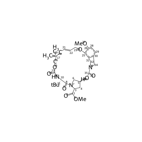 COC(=O)C1C[C@@H]2CN1C(=O)[C@H](C(C)(C)C)NC(=O)OCC(C)(C)C/C=C/COc1c(OC)ccc3c1CN(C3)C(=O)O2